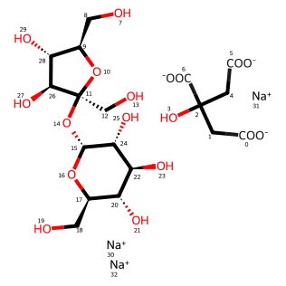 O=C([O-])CC(O)(CC(=O)[O-])C(=O)[O-].OC[C@H]1O[C@@](CO)(O[C@H]2O[C@H](CO)[C@@H](O)[C@H](O)[C@H]2O)[C@@H](O)[C@@H]1O.[Na+].[Na+].[Na+]